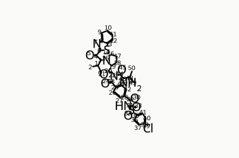 CC(C)C(C(=O)c1nc2ccccc2s1)N1CCC[C@H]1C(=O)N(C(=O)c1ccc(C(=O)NS(=O)(=O)c2ccc(Cl)cc2)cc1)C(=O)[C@@H](N)C(C)C